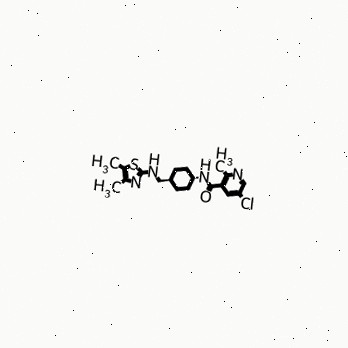 Cc1ncc(Cl)cc1C(=O)N[C@H]1CC[C@H](CNc2nc(C)c(C)s2)CC1